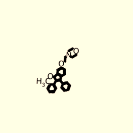 Cc1ccccc1C1=C(c2ccccc2)c2ccc(OCCN3CCOCC3)cc2C1=O